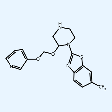 FC(F)(F)c1ccc2nc(N3CCNCC3OCOc3cccnc3)sc2c1